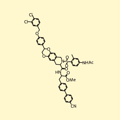 COC(=O)C(Cc1ccc(-c2ccc(C#N)cc2)cc1)NC(=O)C1Cc2cc3c(cc2CN1S(=O)(=O)c1ccc(NC(C)=O)cc1C)OC(c1ccc(OCc2ccc(Cl)c(Cl)c2)cc1)CO3